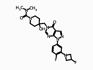 CN(C)C(=O)N1CCC(O)(Cn2cnc3c(cnn3-c3ccc(F)c(N4CC(F)C4)c3)c2=O)CC1